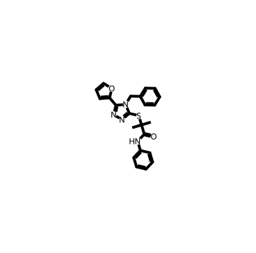 CC(C)(Sc1nnc(-c2ccco2)n1Cc1ccccc1)C(=O)Nc1ccccc1